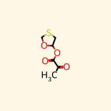 CC(=O)C(=O)OC1CSCO1